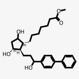 COC(=O)CCCCCC[C@H]1C(O)C[C@@H](O)[C@@H]1CCC(O)c1ccc(-c2ccccc2)cc1